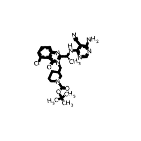 C[C@H](Nc1ncnc(N)c1C#N)c1nc2cccc(Cl)c2c(=O)n1CC1CCCN(C(=O)OC(C)(C)C)C1